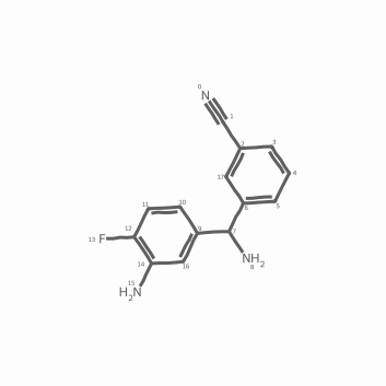 N#Cc1cccc(C(N)c2ccc(F)c(N)c2)c1